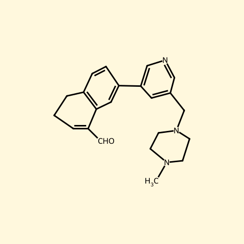 CN1CCN(Cc2cncc(-c3ccc4c(c3)C(C=O)=CCC4)c2)CC1